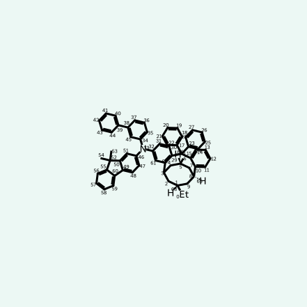 CC[C@@H]1CC2C[C@H](C)C[C@H](C1)c1ccccc1C(c1ccccc1)(c1ccccc1)c1ccc(N(c3cccc(-c4ccccc4)c3)c3ccc4c(c3)C(C)(C)c3ccccc3-4)cc12